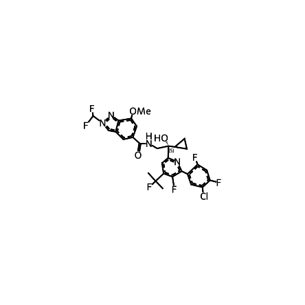 COc1cc(C(=O)NC[C@](O)(c2cc(C(C)(C)F)c(F)c(-c3cc(Cl)c(F)cc3F)n2)C2CC2)cc2cn(C(F)F)nc12